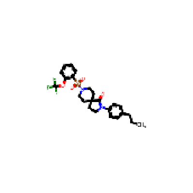 CCCc1ccc(N2CCC3(CCN(S(=O)(=O)c4ccccc4OC(F)(F)F)CC3)C2=O)cc1